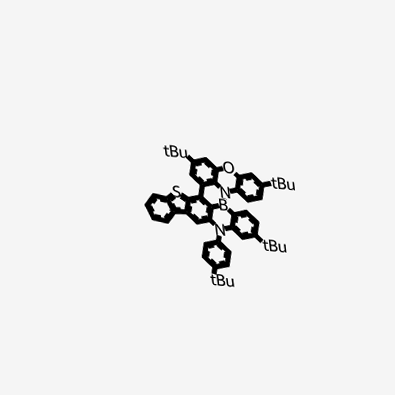 CC(C)(C)c1ccc(N2c3cc(C(C)(C)C)ccc3B3c4c2cc2c(sc5ccccc52)c4-c2cc(C(C)(C)C)cc4c2N3c2ccc(C(C)(C)C)cc2O4)cc1